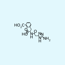 Nc1nnc(CC(=O)NC2Cc3cccc(C(=O)O)c3OB2O)[nH]1